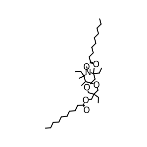 CCCCCCCCCC(=O)OCC1(CC)COC2(CC(C)(CC)N(OC(=O)CCCCCCCCC)C(C)(CC)C2C)OC1